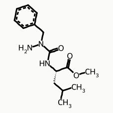 COC(=O)[C@H](CC(C)C)NC(=O)N(N)Cc1ccccc1